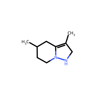 CC1=C2CC(C)CCN2NC1